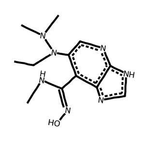 CCN(c1cnc2[nH]cnc2c1C(=NO)NC)N(C)C